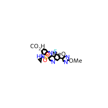 COc1ncc(-c2cc(F)c3c(Nc4cccc(C(=O)O)c4)c(S(=O)(=O)NC4CC4)cnc3c2)c(OC)n1